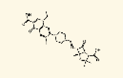 CCn1cc(C(=O)O)c(=O)c2cc(F)c(N3CCN(C=N[C@@H]4C(=O)N5[C@@H]4SC(C)(C)[C@@H]5C(=O)O)CC3)cc21